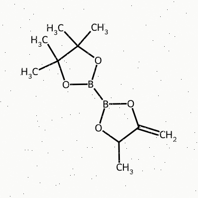 C=C1OB(B2OC(C)(C)C(C)(C)O2)OC1C